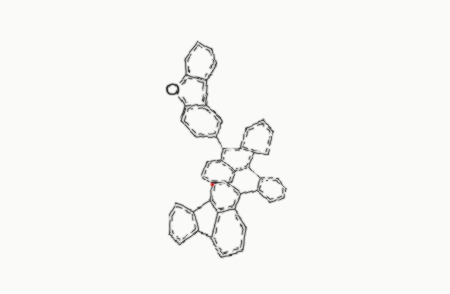 c1ccc(-c2ccc3c4c(cccc24)-c2ccccc2-3)c(-c2c3ccccc3c(-c3ccc4oc5ccccc5c4c3)c3ccccc23)c1